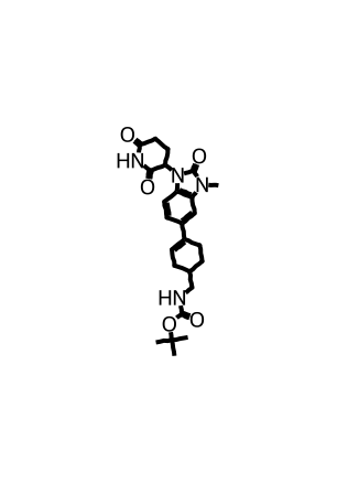 Cn1c(=O)n(C2CCC(=O)NC2=O)c2ccc(C3=CCC(CNC(=O)OC(C)(C)C)CC3)cc21